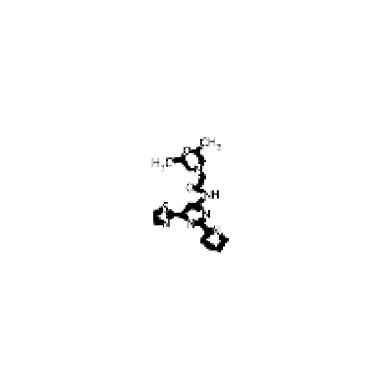 CC1CN(CC(=O)Nc2cc(-c3nccs3)nc(-c3ccccn3)n2)CC(C)O1